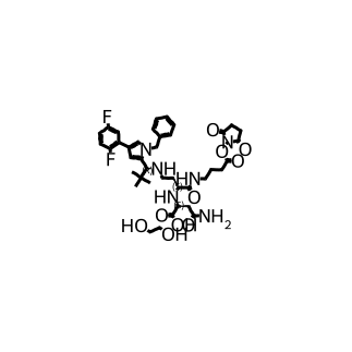 CC(C)(C)[C@@H](NCC[C@H](N[C@@H](CC(N)=O)C(=O)O)C(=O)NCCCC(=O)ON1C(=O)CCC1=O)c1cc(-c2cc(F)ccc2F)cn1Cc1ccccc1.OCCO